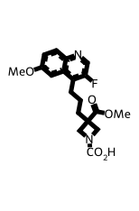 COC(=O)C1(CCCc2c(F)cnc3ccc(OC)cc23)CN(C(=O)O)C1